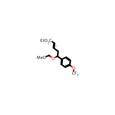 CCOC(=O)/C=C/CC(OCOC)c1ccc(OC(F)(F)F)cc1